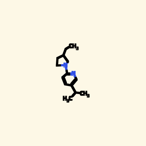 CCC1CCN(c2ccc(C(C)C)cn2)C1